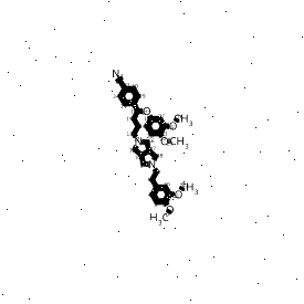 COc1ccc(CCN2CC3CN(CCCC(Oc4ccc(OC)c(OC)c4)c4ccc(C#N)cc4)CC3C2)cc1OC